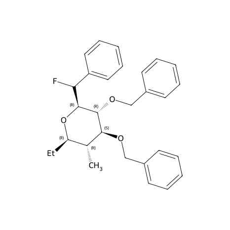 CC[C@H]1O[C@@H](C(F)c2ccccc2)[C@H](OCc2ccccc2)[C@@H](OCc2ccccc2)[C@@H]1C